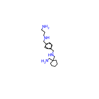 NCCCNCc1ccc(CNCC2(CN)CCCCC2)cc1